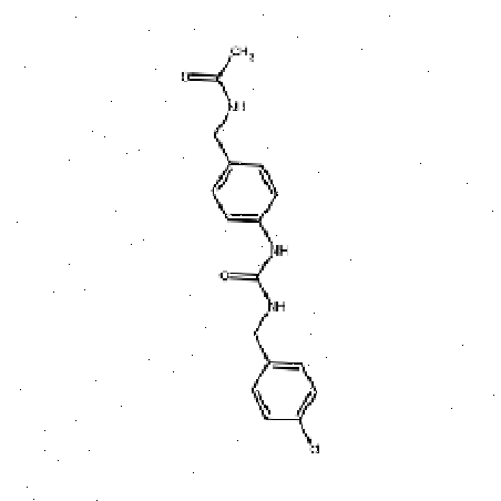 CC(=O)NCc1ccc(NC(=O)NCc2ccc(Cl)cc2)cc1